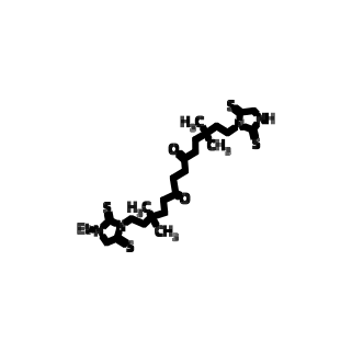 CCN1CC(=S)N(CCC(C)(C)CCC(=O)CCC(=O)CCC(C)(C)CCN2C(=S)CNC2=S)C1=S